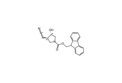 [N-]=[N+]=N[C@@H]1CN(C(=O)OCC2c3ccccc3-c3ccccc32)C[C@H]1O